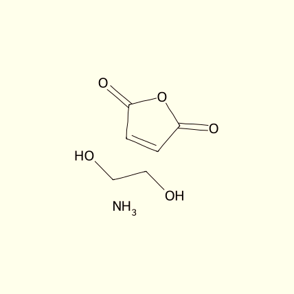 N.O=C1C=CC(=O)O1.OCCO